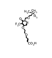 C[Si](C)(C)CCOCn1ncc(OCCOC/C=C/C(=O)O)c(C(F)(F)F)c1=O